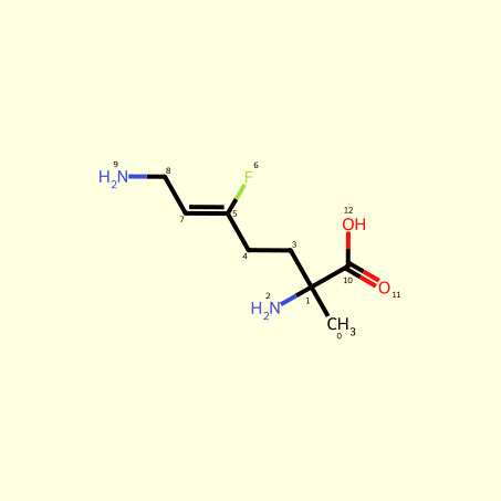 CC(N)(CCC(F)=CCN)C(=O)O